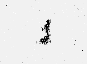 CC[C@H]1[C@@H](O)[C@@H]2[C@H](CC[C@]3(C)[C@@H]([C@H](C)CCNC(=O)NS(=O)(=O)c4ccc(-c5ccno5)cc4C)CC[C@@H]23)[C@@]2(C)CC[C@@H](O)C[C@@H]12